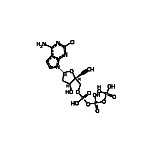 C#C[C@]1(COP(=O)(O)OP(=O)(O)OP(=O)(O)O)O[C@@H](n2ccc3c(N)nc(Cl)nc32)C[C@@H]1O